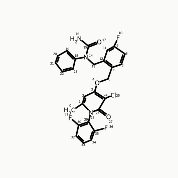 Cc1cc(OCc2ccc(F)cc2CN(C(N)=O)c2ccccc2)c(Cl)c(=O)n1-c1c(F)cccc1F